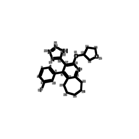 Fc1cccc(-c2c3c(nc(OC4CCOC4)c2-c2nnn[nH]2)CCCCC3)c1